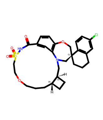 O=C1NS(=O)(=O)CCOCCC[C@H]2CC[C@@H]2CN2C[C@@]3(CCCc4cc(Cl)ccc43)COc3ccc1cc32